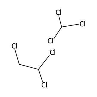 ClC(Cl)Cl.ClCC(Cl)Cl